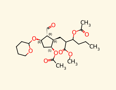 CCCC(OC(C)=O)C(C[C@@H]1[C@@H](C=O)[C@H](OC2CCCCO2)C[C@@H]1OC(C)=O)C(=O)OC